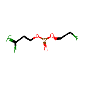 O=S(OCCF)OCCC(F)F